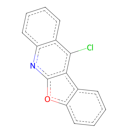 Clc1c2ccccc2nc2oc3ccccc3c12